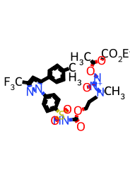 CCOC(=O)OC(C)ON=[N+]([O-])N(C)CCCOC(=O)NS(=O)(=O)c1ccc(-n2nc(C(F)(F)F)cc2-c2ccc(C)cc2)cc1